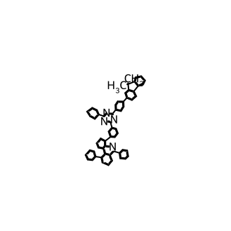 CC1(C)c2ccccc2-c2ccc(-c3ccc(-c4nc(-c5ccccc5)nc(-c5cccc(-c6cccc7c6nc(-c6ccccc6)c6cccc(-c8ccccc8)c67)c5)n4)cc3)cc21